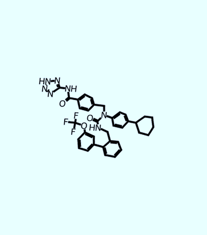 O=C(Nc1nn[nH]n1)c1ccc(CN(C(=O)NCc2ccccc2-c2cccc(OC(F)(F)F)c2)c2ccc(C3CCCCC3)cc2)cc1